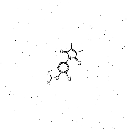 CC1=C(C)C(=O)N(c2ccc(OC(F)F)c(Cl)c2)C1=O